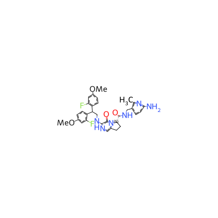 COc1ccc(C(CNc2ncc3n(c2=O)[C@H](C(=O)NCc2ccc(N)nc2C)CC3)c2ccc(OC)cc2F)c(F)c1